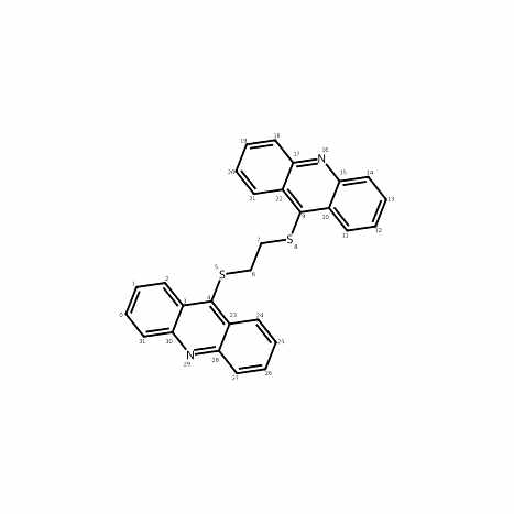 c1ccc2c(SCCSc3c4ccccc4nc4ccccc34)c3ccccc3nc2c1